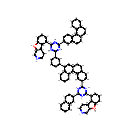 c1cc(-c2nc(-c3ccc4c(ccc5ccc6ccccc6c54)c3)nc(-c3cccc4oc5cnccc5c34)n2)cc(-c2cc3ccc4ccc(-c5nc(-c6ccc7ccccc7c6)nc(-c6cccc7oc8cnccc8c67)n5)cc4c3c3ccccc23)c1